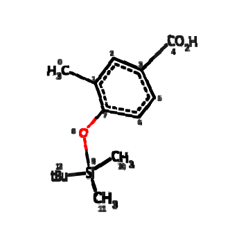 Cc1cc(C(=O)O)ccc1O[Si](C)(C)C(C)(C)C